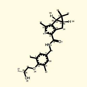 Cc1cc(CNC(=O)c2sc(C)c3c2C[C@@H]2[C@H]3C2(C)C)cc(C)c1OC[C@@H](C)O